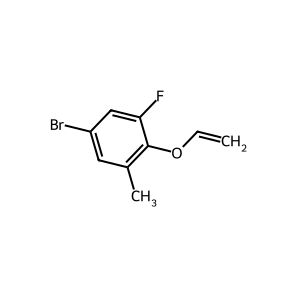 C=COc1c(C)cc(Br)cc1F